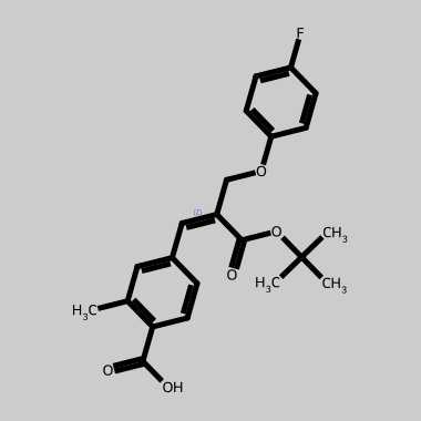 Cc1cc(/C=C(/COc2ccc(F)cc2)C(=O)OC(C)(C)C)ccc1C(=O)O